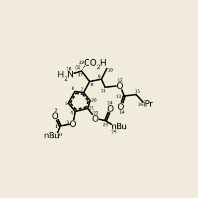 CCCCC(=O)Oc1ccc(C(C(C)COC(=O)CC(C)C)[C@H](N)C(=O)O)cc1OC(=O)CCCC